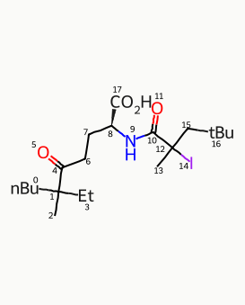 CCCCC(C)(CC)C(=O)CC[C@H](NC(=O)C(C)(I)CC(C)(C)C)C(=O)O